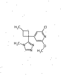 COc1cc(C2(c3nncn3C)CC(C)C2)cc(Cl)n1